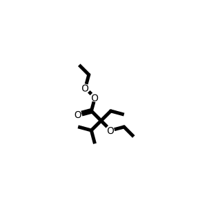 CCOOC(=O)C(CC)(OCC)C(C)C